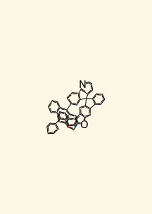 c1ccc(-c2c3ccccc3c(-c3ccc4c(c3)C3(c5ccccc5-c5cc6oc7ccc8ccccc8c7c6cc53)c3cccnc3-4)c3ccccc23)cc1